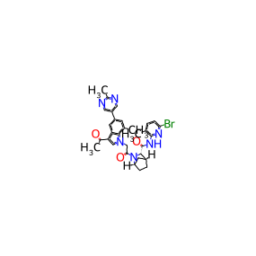 CC(=O)c1cn(CC(=O)N2[C@H]3CC[C@H](C3)[C@H]2C(=O)Nc2nc(Br)ccc2C)c2c(C)cc(-c3cnc(C)nc3)cc12